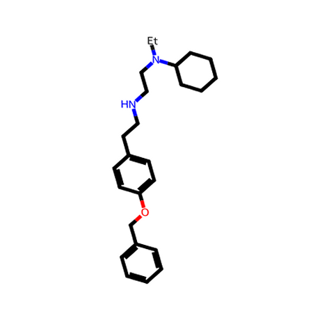 CCN(CCNCCc1ccc(OCc2ccccc2)cc1)C1CCCCC1